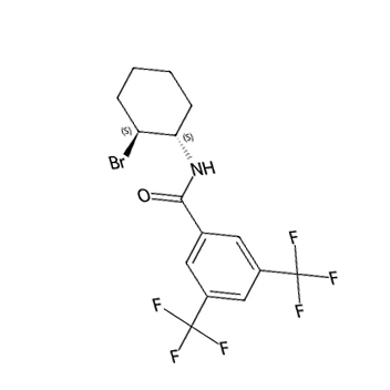 O=C(N[C@H]1CCCC[C@@H]1Br)c1cc(C(F)(F)F)cc(C(F)(F)F)c1